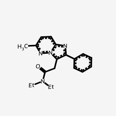 CCN(CC)C(=O)Cc1c(-c2ccccc2)nc2ccc(C)nn12